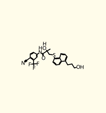 CC(O)(CSc1cccc2c(CCCO)cccc12)C(=O)Nc1ccc(C#N)c(C(F)(F)F)c1